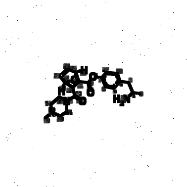 CC(N)Cc1ccc(OC(=O)C2C(C(=O)N3CCN(C)CC3)[C@@H]3C=C[C@H]2O3)cc1